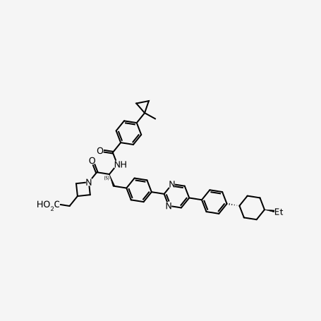 CC[C@H]1CC[C@H](c2ccc(-c3cnc(-c4ccc(C[C@H](NC(=O)c5ccc(C6(C)CC6)cc5)C(=O)N5CC(CC(=O)O)C5)cc4)nc3)cc2)CC1